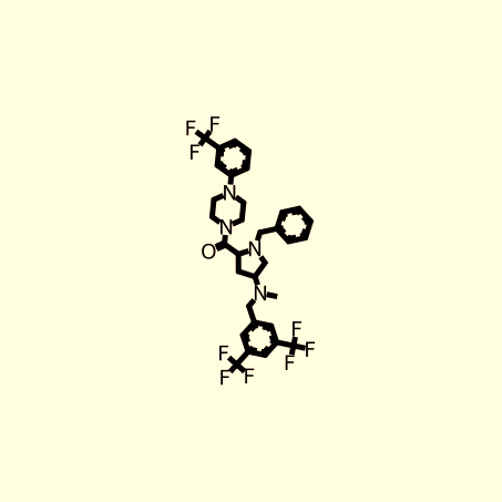 CN(Cc1cc(C(F)(F)F)cc(C(F)(F)F)c1)C1CC(C(=O)N2CCN(c3cccc(C(F)(F)F)c3)CC2)N(Cc2ccccc2)C1